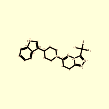 FC(F)(F)c1nnc2n1N=C(N1CCC(c3c[nH]c4ccccc34)CC1)CC2